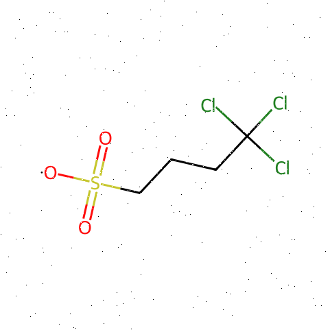 [O]S(=O)(=O)CCCC(Cl)(Cl)Cl